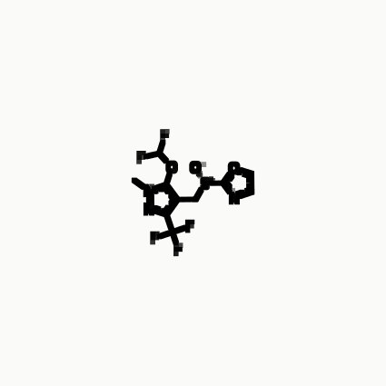 Cn1nc(C(F)(F)F)c(C[S@+]([O-])c2ncco2)c1OC(F)F